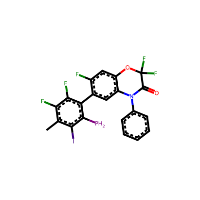 Cc1c(F)c(F)c(-c2cc3c(cc2F)OC(F)(F)C(=O)N3c2ccccc2)c(P)c1I